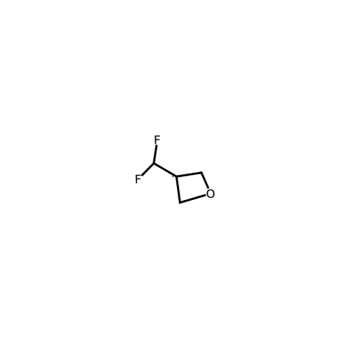 FC(F)[C]1COC1